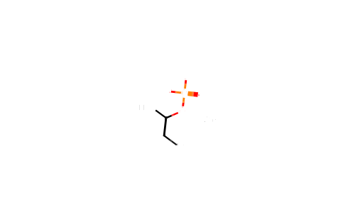 CC(C)CC(C)OP(=O)([O-])[O-].[Zn+2]